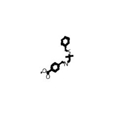 COC(=O)c1ccc(C/N=C\C(C)(C)SCc2ccccc2)cc1